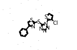 Clc1ccsc1-n1nnnc1Sc1nc(-c2ccccc2)cs1